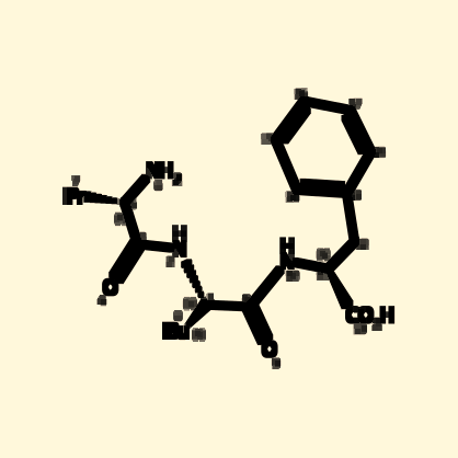 CC[C@H](C)[C@H](NC(=O)[C@@H](N)C(C)C)C(=O)N[C@@H](Cc1ccccc1)C(=O)O